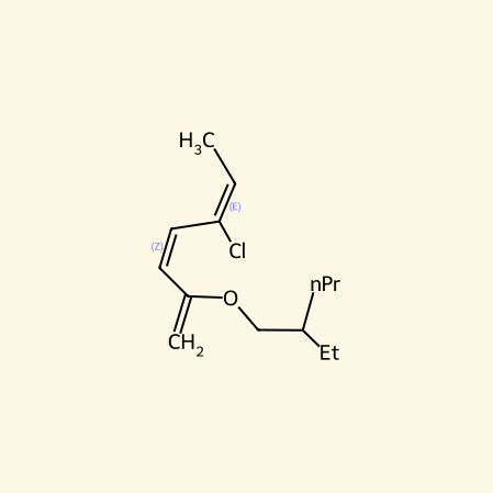 C=C(/C=C\C(Cl)=C/C)OCC(CC)CCC